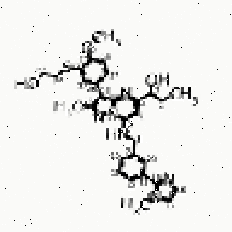 CCC(O)c1cc(NCc2cccc(-c3nccn3C)c2)n2nc(C)c(-c3ccc(OC)c(SCCO)c3)c2n1